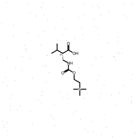 CC(C)[C@@H](CNC(=O)OCC[Si](C)(C)C)C(=O)O